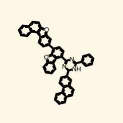 c1ccc(C2=NC(c3ccc(-c4ccc5c(c4)oc4ccc6ccccc6c45)c4oc5ccccc5c34)=NC(c3ccc4c(ccc5ccccc54)c3)N2)cc1